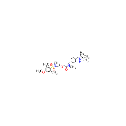 COc1cc(C)c(S(=O)(=O)N(C)CCOCC(=O)N(C)C[C@H]2CC[C@H](CNC(C)(C)C)CC2)c(C)c1